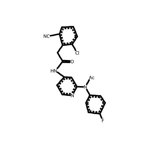 CC(=O)N(c1ccc(F)cc1)c1cc(NC(=O)Cc2c(Cl)cccc2C#N)ccn1